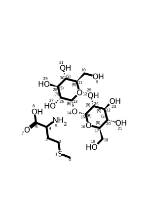 CSCCC(N)C(=O)O.OC[C@H]1O[C@H](O[C@H]2O[C@H](CO)[C@@H](O)[C@H](O)[C@H]2O)[C@H](O)[C@@H](O)[C@@H]1O